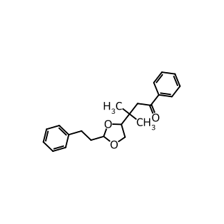 CC(C)(CC(=O)c1ccccc1)C1COC(CCc2ccccc2)O1